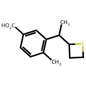 Cc1ccc(C(=O)O)cc1C(C)C1CCS1